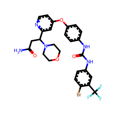 NC(=O)CC(c1cc(Oc2ccc(NC(=O)Nc3ccc(Br)c(C(F)(F)F)c3)cc2)ccn1)N1CCOCC1